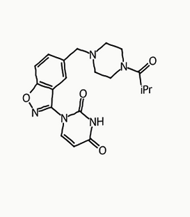 CC(C)C(=O)N1CCN(Cc2ccc3onc(-n4ccc(=O)[nH]c4=O)c3c2)CC1